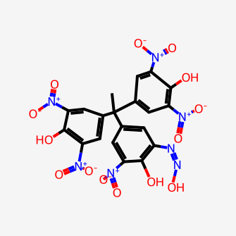 CC(c1cc(/N=N\O)c(O)c([N+](=O)[O-])c1)(c1cc([N+](=O)[O-])c(O)c([N+](=O)[O-])c1)c1cc([N+](=O)[O-])c(O)c([N+](=O)[O-])c1